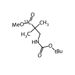 CO[13C](=O)C(C)(C)CNC(=O)OC(C)(C)C